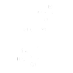 CC(C)(COS(C)(=O)=O)CC1=CCCC=C1OC(=O)C(C)(C)C